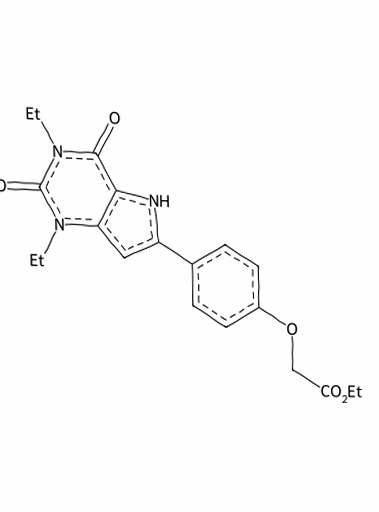 CCOC(=O)COc1ccc(-c2cc3c([nH]2)c(=O)n(CC)c(=O)n3CC)cc1